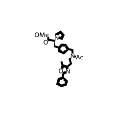 COC(=O)[C@H](Cc1ccc(CN(CCc2nc(-c3ccccc3)oc2C)C(C)=O)cc1)n1cccc1